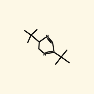 CC(C)(C)C1=NCC(C(C)(C)C)N=C1